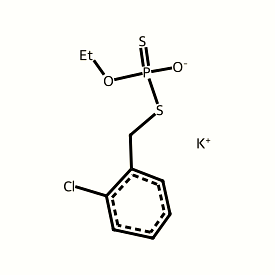 CCOP([O-])(=S)SCc1ccccc1Cl.[K+]